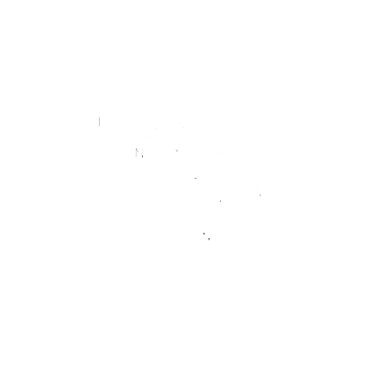 CNC(=O)C1(Cc2c(Cl)cccc2Cl)CCN(C2CCCCC2)C1=O